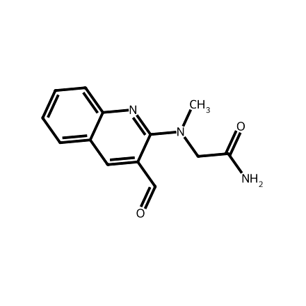 CN(CC(N)=O)c1nc2ccccc2cc1C=O